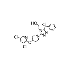 OCCn1c(N2CCC(Oc3ncc(Cl)cc3Cl)CC2)nnc1C1(c2ccccc2)CC1